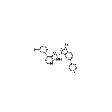 Fc1cccc(-c2ccnc3[nH]c(-c4n[nH]c5ccc(-c6ccncc6)cc45)nc23)c1